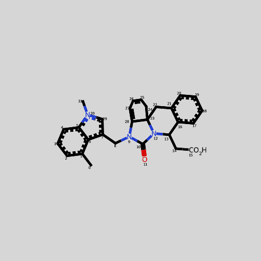 Cc1cccc2c1c(CN1C(=O)N3C(CC(=O)O)c4ccccc4CC34CC=CC=C14)cn2C